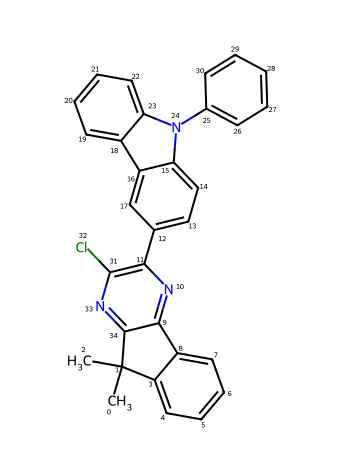 CC1(C)c2ccccc2-c2nc(-c3ccc4c(c3)c3ccccc3n4-c3ccccc3)c(Cl)nc21